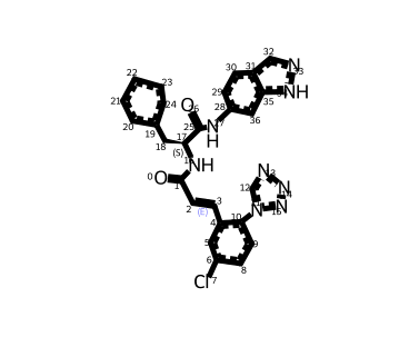 O=C(/C=C/c1cc(Cl)ccc1-n1cnnn1)N[C@@H](Cc1ccccc1)C(=O)Nc1ccc2cn[nH]c2c1